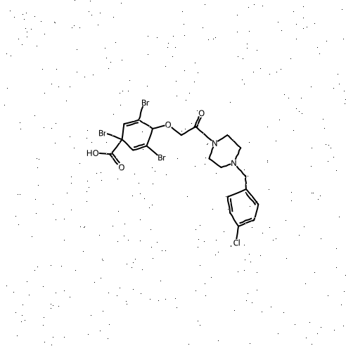 O=C(COC1C(Br)=CC(Br)(C(=O)O)C=C1Br)N1CCN(Cc2ccc(Cl)cc2)CC1